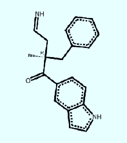 C[C@](CC=N)(Cc1ccccc1)C(=O)c1ccc2[nH]ccc2c1